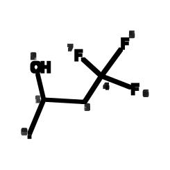 [CH2]C(O)CC(F)(F)F